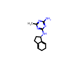 Cc1nc(N)nc(N[C@@H]2CCC3=CCCC=C32)n1